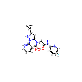 O=C(CN1c2cc(C3CC3)nn2-c2ncccc2C1O)Nc1ccc(F)cn1